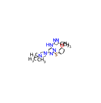 COc1cccc(Sc2nc(NC3=NN=C(C)C3)cc(N3CCN(C(C)(C)C)CC3)n2)c1